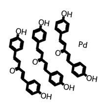 O=C(C=Cc1ccc(O)cc1)C=Cc1ccc(O)cc1.O=C(C=Cc1ccc(O)cc1)C=Cc1ccc(O)cc1.O=C(C=Cc1ccc(O)cc1)C=Cc1ccc(O)cc1.[Pd]